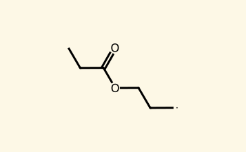 [CH2]CCOC(=O)CC